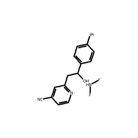 CC(C)c1ccc(C(O)Cc2cc(C#N)ccn2)cc1.FBF